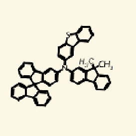 CC1(C)c2ccccc2-c2ccc(N(c3ccc4c(c3)-c3ccccc3C43c4ccccc4-c4ccccc43)c3ccc4sc5ccccc5c4c3)cc21